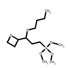 CCCCOC(CC[Si](OC)(OC)OC)C1CCO1